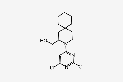 OCC1CC2(CCCCC2)CCN1c1cc(Cl)nc(Cl)n1